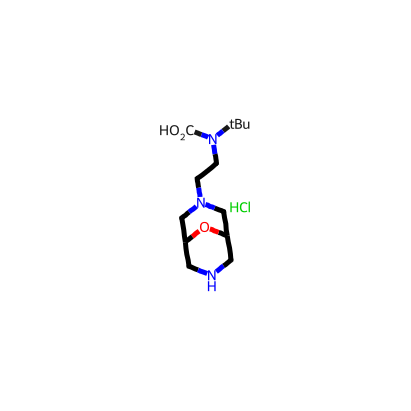 CC(C)(C)N(CCN1CC2CNCC(C1)O2)C(=O)O.Cl